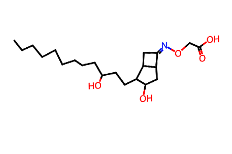 CCCCCCCCCC(O)CCC1C(O)CC2C(=NOCC(=O)O)CC21